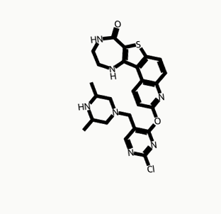 CC1CN(Cc2cnc(Cl)nc2Oc2ccc3c(ccc4sc5c(c43)NCCNC5=O)n2)CC(C)N1